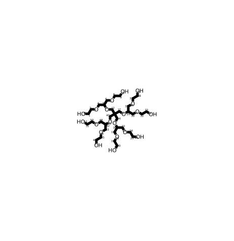 OCCOCC(COCCO)OCC(COC(COCCO)COCCO)(COC(COCCO)COCCO)COC(COCCO)COCCO